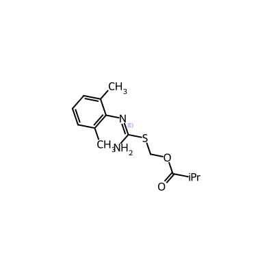 Cc1cccc(C)c1/N=C(\N)SCOC(=O)C(C)C